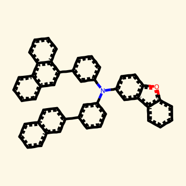 c1cc(-c2ccc3ccccc3c2)cc(N(c2cccc(-c3cc4ccccc4c4ccccc34)c2)c2ccc3oc4ccccc4c3c2)c1